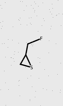 FCC1CS1